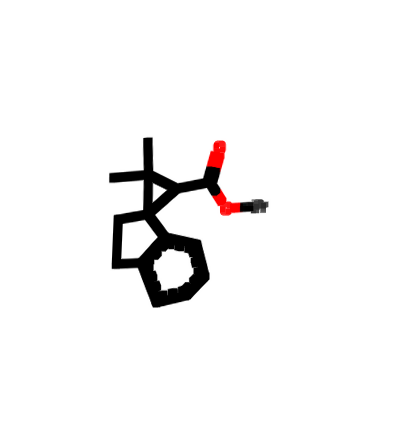 CC(C)OC(=O)C1C(C)(C)C12CCc1ccccc12